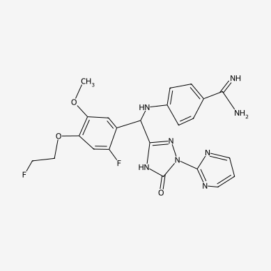 COc1cc(C(Nc2ccc(C(=N)N)cc2)c2nn(-c3ncccn3)c(=O)[nH]2)c(F)cc1OCCF